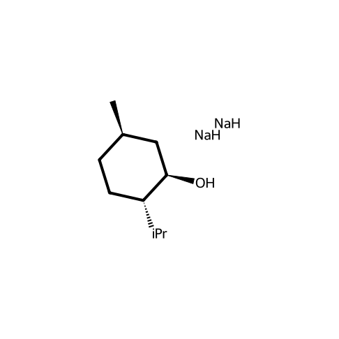 CC(C)[C@@H]1CC[C@@H](C)C[C@H]1O.[NaH].[NaH]